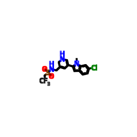 Cn1c(C2=CNCC(CNS(=O)(=O)CC(F)(F)F)=C2)cc2ccc(Cl)cc21